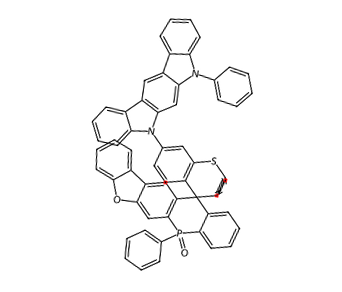 O=P1(c2ccccc2)c2ccccc2C2(c3ccccc3Sc3cc(-n4c5ccccc5c5cc6c7ccccc7n(-c7ccccc7)c6cc54)ccc32)c2cc3c(cc21)oc1ccccc13